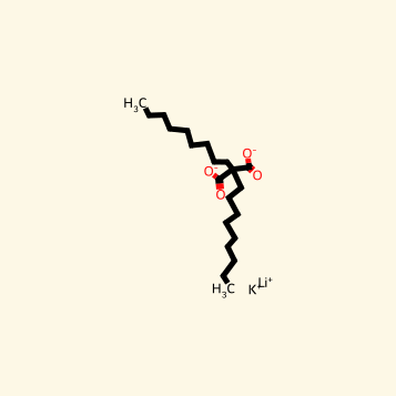 CCCCCCCCCC(CCCCCCCCC)(C(=O)[O-])C(=O)[O-].[K+].[Li+]